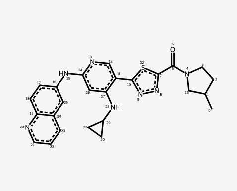 CC1CCN(C(=O)c2nnc(-c3cnc(Nc4ccc5ncccc5c4)cc3NC3CC3)s2)C1